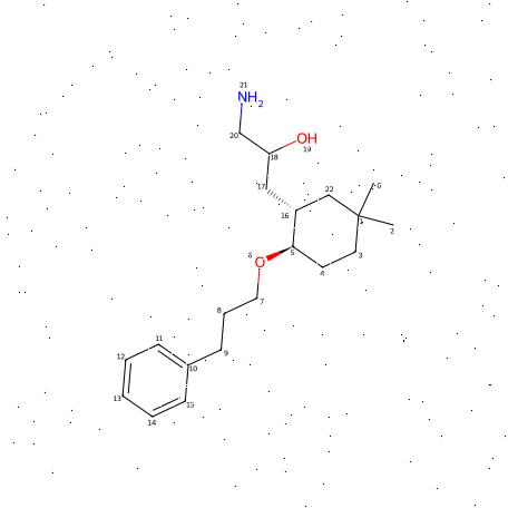 CC1(C)CC[C@@H](OCCCc2ccccc2)[C@H](CC(O)CN)C1